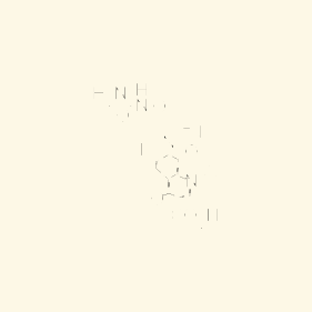 NC(=O)NCC12CN(c3c(F)cc4c(=O)c(C(=O)O)cn(C5CC5)c4c3OC(F)F)CC1CCO2